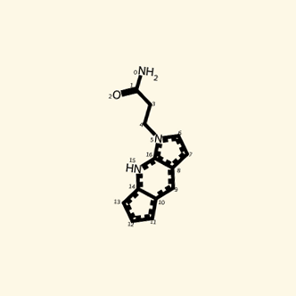 NC(=O)CCn1ccc2cc3cccc-3[nH]c21